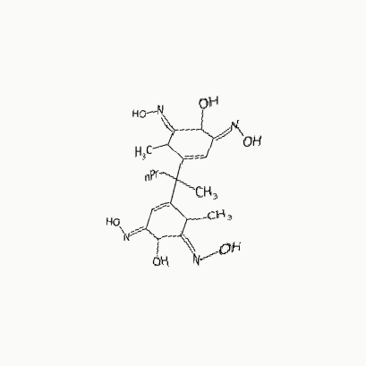 CCCC(C)(C1=CC(=NO)C(O)C(=NO)C1C)C1=CC(=NO)C(O)C(=NO)C1C